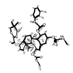 CNC(=O)OC1CC2=CC(OC(=O)OC)[C@H]3[C@@H]4CC[C@H](C(C)C5OCC(C)(C)CO5)[C@@]4(C)CC[C@@H]3[C@@]2(C)C(OC(=O)Nc2ccccc2)C1